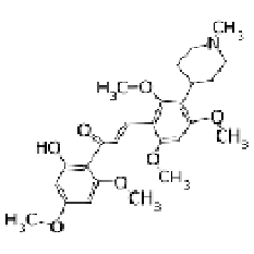 COc1cc(O)c(C(=O)/C=C/c2c(OC)cc(OC)c(C3CCN(C)CC3)c2OC)c(OC)c1